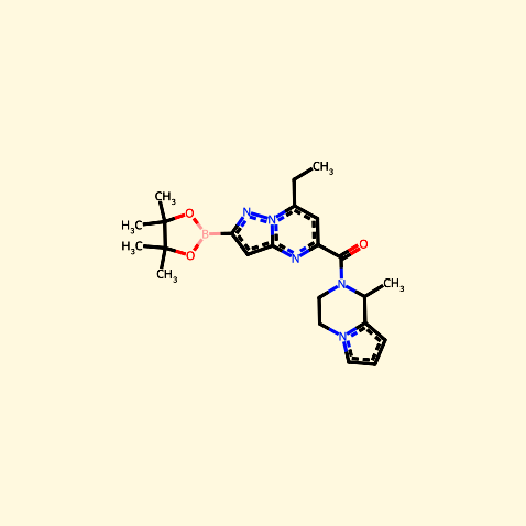 CCc1cc(C(=O)N2CCn3cccc3C2C)nc2cc(B3OC(C)(C)C(C)(C)O3)nn12